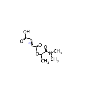 CC(OC(=O)/C=C/C(=O)O)C(=O)N(C)C